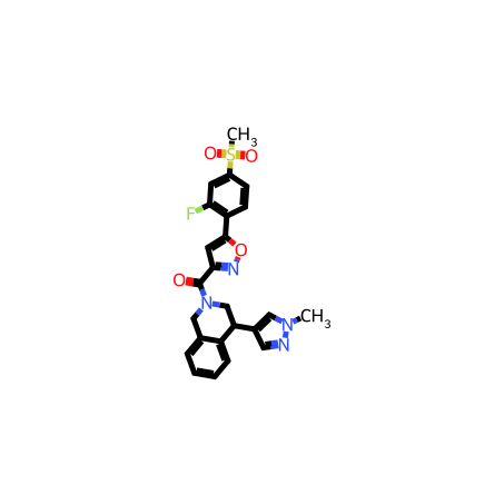 Cn1cc(C2CN(C(=O)c3cc(-c4ccc(S(C)(=O)=O)cc4F)on3)Cc3ccccc32)cn1